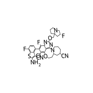 N#Cc1c(N)sc2c(F)ccc(-c3c(Cl)c4c5c(nc(OCC67CCCN6C[C@H](F)C7)nc5c3F)N3CCCC(C#N)CC3CCO4)c12